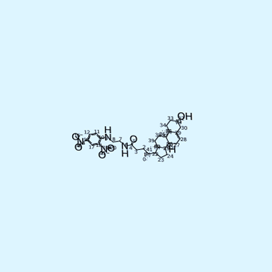 C[C@H](CCC(=O)NCCNc1ccc([N+](=O)[O-])cc1[N+](=O)[O-])C1CCC2[C@@H]3CC=C4C[C@@H](O)CC[C@]4(C)C3CC[C@@]21C